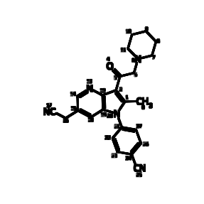 Cc1c(C(=O)CN2CCCCC2)c2ncc(CC#N)cc2n1-c1ccc(C#N)cc1